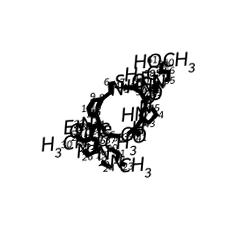 CCO[C@@H]1c2nc(cs2)-c2ccc3c(c2)c(c(-c2cc(N4CCN(C)CC4)cnc2[C@H](C)OC)n3CC)CC(C)(C)COC(=O)[C@@H]2CCCN(N2)C(=O)[C@H]1NC(=O)N1CC[C@@]1(C)[C@@H](C)O